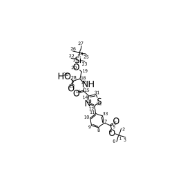 CC(C)(C)OC(=O)c1cccc(-c2nc(C(=O)NC(CO[Si](C)(C)C(C)(C)C)C(=O)O)cs2)c1